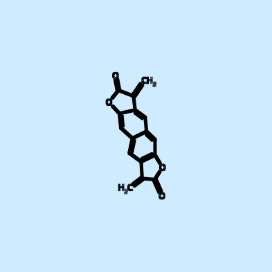 C=C1C(=O)Oc2cc3cc4c(cc3cc21)OC(=O)C4=C